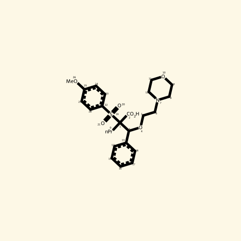 CCCC(C(=O)O)(C(OCCN1CCOCC1)c1ccccc1)S(=O)(=O)c1ccc(OC)cc1